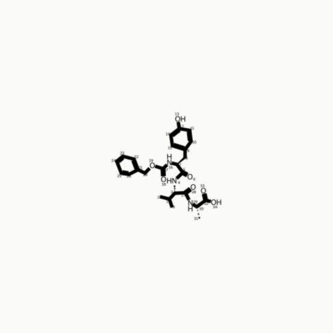 CC(C)[C@H](NC(=O)[C@H](Cc1ccc(O)cc1)NC(=O)OCc1ccccc1)C(=O)N[C@@H](C)C(=O)O